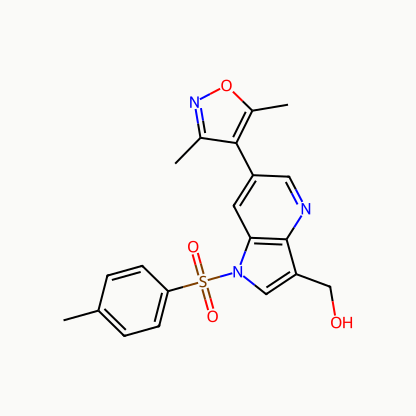 Cc1ccc(S(=O)(=O)n2cc(CO)c3ncc(-c4c(C)noc4C)cc32)cc1